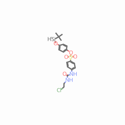 C[SiH](Oc1ccc(OS(=O)(=O)c2ccc(NC(=O)NCCCl)cc2)cc1)C(C)(C)C